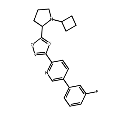 Fc1cccc(-c2ccc(-c3noc(C4CCCN4C4CCC4)n3)nc2)c1